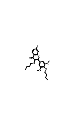 CCCCOc1c(OC)cc(-c2oc3cc(I)ccc3c(=O)c2OCCCC)cc1OC